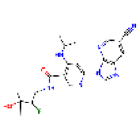 CC(C)Nc1cc(-n2cnc3cc(C#N)cnc32)ncc1C(=O)NCC(F)C(C)(C)O